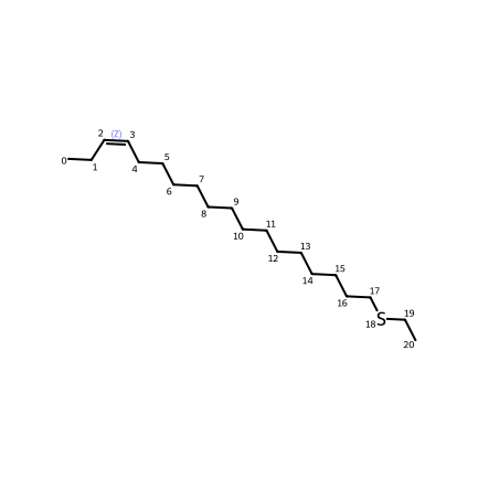 CC/C=C\CCCCCCCCCCCCCCSCC